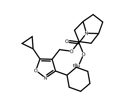 CC(C)(C)OC(=O)N1C2CCC1CC(OCc1c(C3CCCCC3)noc1C1CC1)C2